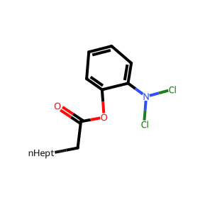 CCCCCCCCC(=O)Oc1ccccc1N(Cl)Cl